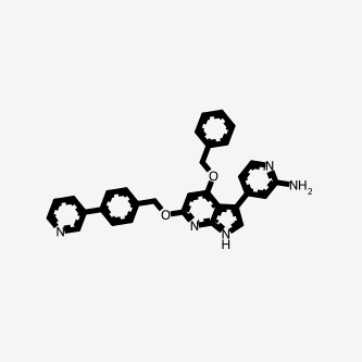 Nc1cc(-c2c[nH]c3nc(OCc4ccc(-c5cccnc5)cc4)cc(OCc4ccccc4)c23)ccn1